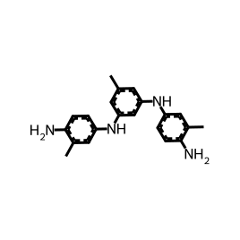 Cc1cc(Nc2ccc(N)c(C)c2)cc(Nc2ccc(N)c(C)c2)c1